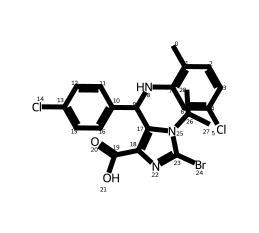 Cc1ccc(Cl)cc1NC(c1ccc(Cl)cc1)c1c(C(=O)O)nc(Br)n1C(C)C